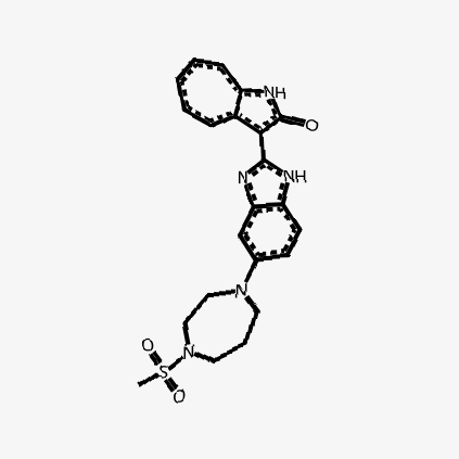 CS(=O)(=O)N1CCCN(c2ccc3[nH]c(-c4c5cccccc-5[nH]c4=O)nc3c2)CC1